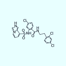 O=C(NCCc1ccc(Cl)cc1Cl)c1ccc(Cl)cc1NS(=O)(=O)C1=CC=CN2SNC=C12